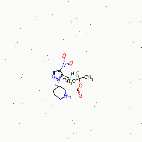 CC(C)(C)OC=O.Cc1c([N+](=O)[O-])cnn1[C@H]1CCCNC1